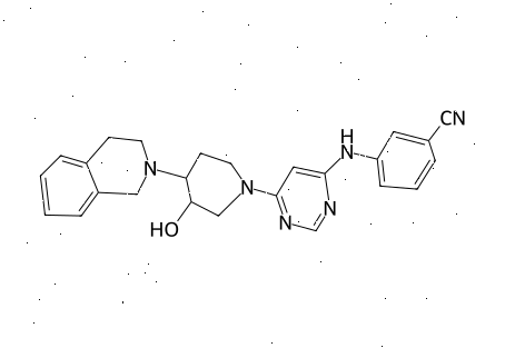 N#Cc1cccc(Nc2cc(N3CCC(N4CCc5ccccc5C4)C(O)C3)ncn2)c1